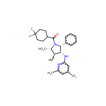 Cc1cc(C(F)(F)F)cc(N[C@@H]2[C@@H](C(C)(C)C)[C@H](C(=O)O)N(C(=O)C3CCC(F)(F)CC3)[C@@H]2c2ccccc2)n1